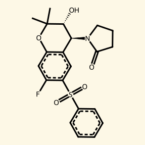 CC1(C)Oc2cc(F)c(S(=O)(=O)c3ccccc3)cc2[C@H](N2CCCC2=O)[C@H]1O